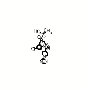 C#C[C@@H](CC)OC(=O)N1Cc2cc(Cl)ccc2-n2c(nnc2C2CCN(c3cnccn3)CC2)C1